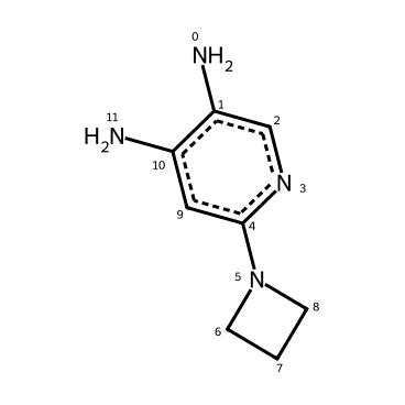 Nc1cnc(N2CCC2)cc1N